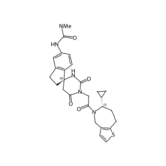 CNC(=O)Nc1ccc2c(c1)CC[C@@]21CC(=O)N(CC(=O)N2Cc3ccsc3CC[C@H]2C2CC2)C(=O)N1